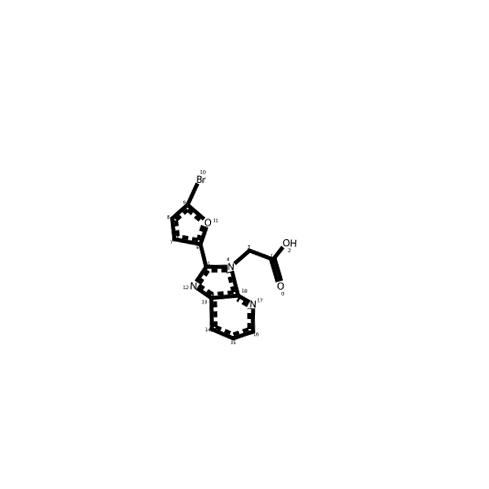 O=C(O)Cn1c(-c2ccc(Br)o2)nc2cccnc21